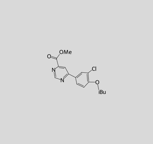 CCC(C)Oc1ccc(-c2cc(C(=O)OC)ncn2)cc1Cl